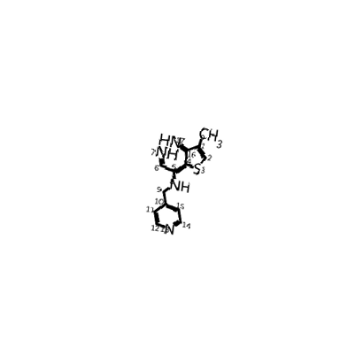 CC1=CS/C(=C(/C=N)NCc2ccncc2)C1=N